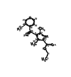 CCOC(=O)c1[nH]c(C)c(C(=O)c2ccccc2C)c1C